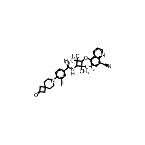 CC1(C)C(NC(=O)c2ccc(N3CCC4(CC3)CC(=O)C4)c(F)c2)C(C)(C)C1Oc1ccc(C#N)c2ncccc12